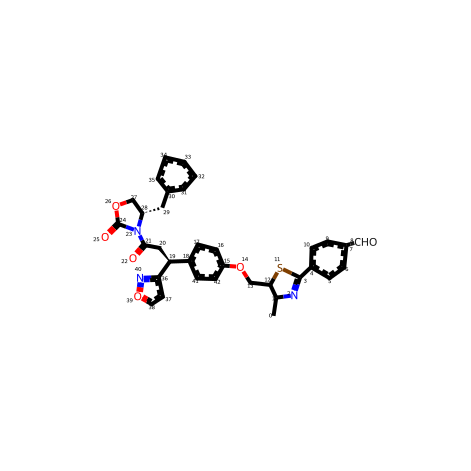 CC1N=C(c2ccc(C=O)cc2)SC1COc1ccc([C@H](CC(=O)N2C(=O)OC[C@@H]2Cc2ccccc2)c2ccon2)cc1